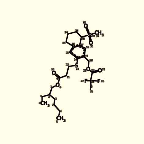 CCCCC(CC)COC(=O)CCSc1cc2c(cc1COC(=O)C(F)(F)F)C(S(C)(=O)=O)CCC2